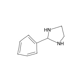 c1ccc(C2NCCN2)cc1